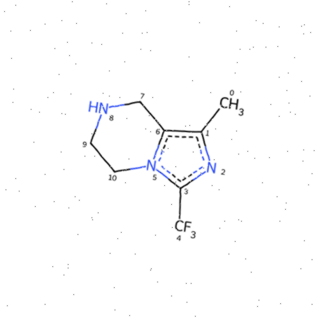 Cc1nc(C(F)(F)F)n2c1CNCC2